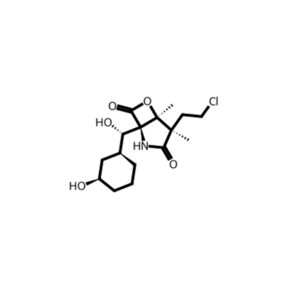 C[C@@]12OC(=O)[C@]1([C@@H](O)[C@H]1CCC[C@@H](O)C1)NC(=O)[C@]2(C)CCCl